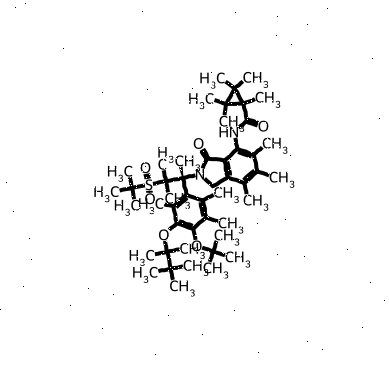 Cc1c(C)c2c(c(NC(=O)C3(C)C(C)(C)C3(C)C)c1C)C(=O)N([C@](C)(c1c(C)c(C)c(OC(C)(C)C)c(OC(C)(C)C(C)(C)C)c1C)C(C)(C)S(=O)(=O)C(C)(C)C)C2